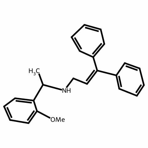 COc1ccccc1C(C)NCC=C(c1ccccc1)c1ccccc1